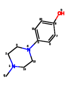 [CH2]N1CCN(c2ccc(O)cc2)CC1